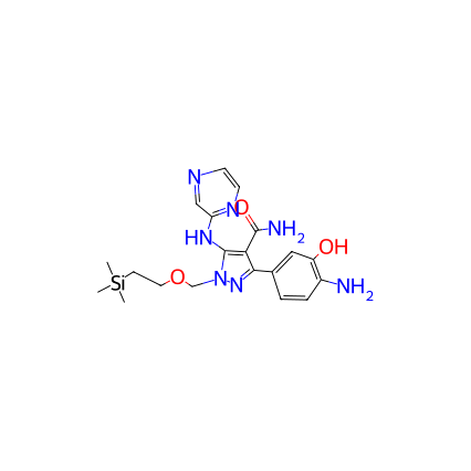 C[Si](C)(C)CCOCn1nc(-c2ccc(N)c(O)c2)c(C(N)=O)c1Nc1cnccn1